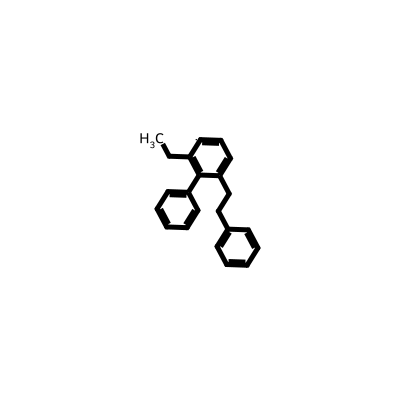 CCc1[c]ccc(CCc2ccccc2)c1-c1ccccc1